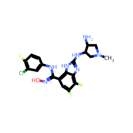 CN1CC(N)C(Nc2nc3c(F)c(F)cc(/C(=N/O)Nc4ccc(F)c(Cl)c4)c3[nH]2)C1